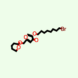 O=c1cc(COC2CCCCO2)occ1OCCCCCCCCBr